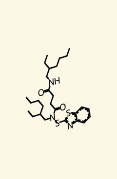 CCCCC(CC)CNC(=O)CCC(=O)N(CC(CC)CCCC)Sc1nc2ccccc2s1